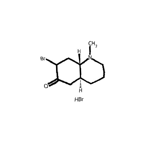 Br.CN1CCC[C@H]2CC(=O)C(Br)C[C@@H]21